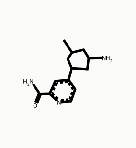 CC1CC(N)CC(c2[c]c(C(N)=O)ncc2)C1